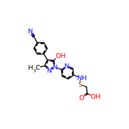 Cc1nn(-c2ccc(NSCC(=O)O)cn2)c(O)c1-c1ccc(C#N)cc1